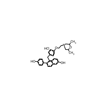 CC1CN(CCOc2ccc(Cc3c(-c4ccc(O)cc4)ccc4cc(O)ccc34)cc2)CC(C)O1.Cl